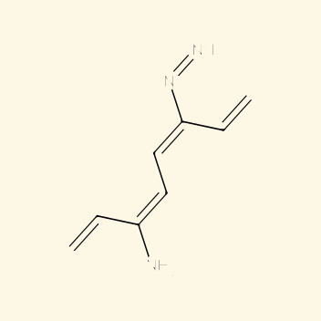 C=C/C(N)=C\C=C(/C=C)N=N